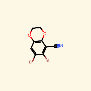 N#Cc1c(Br)c(Br)cc2c1OCCO2